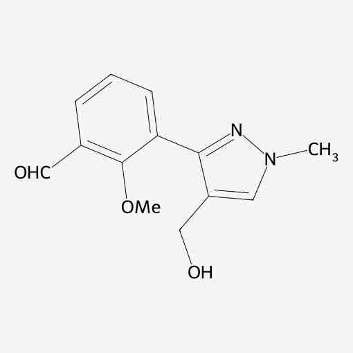 COc1c(C=O)cccc1-c1nn(C)cc1CO